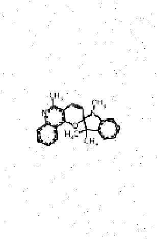 Cc1nc2ccccc2c2c1C=CC1(O2)N(C)c2ccccc2C1(C)C